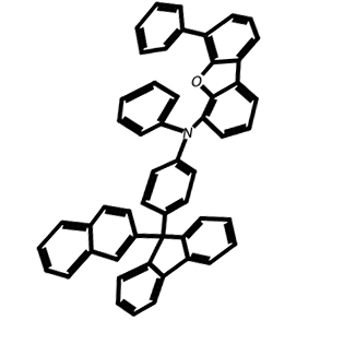 c1ccc(-c2cccc3c2oc2c(N(c4ccccc4)c4ccc(C5(c6ccc7ccccc7c6)c6ccccc6-c6ccccc65)cc4)cccc23)cc1